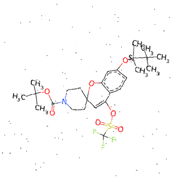 CC(C)(C)OC(=O)N1CCC2(C=C(OS(=O)(=O)C(F)(F)F)c3ccc(O[Si](C)(C)C(C)(C)C)cc3O2)CC1